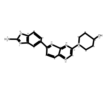 Nc1nc2cc(-c3ccc4ncc(N5CCC(O)CC5)nc4n3)ccc2o1